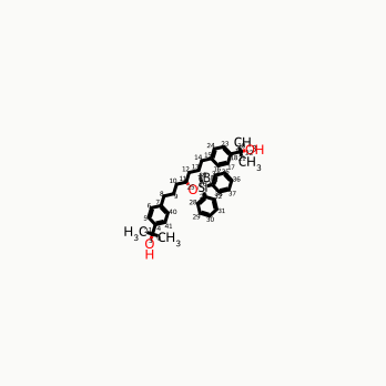 CC(C)(O)c1ccc(CCCC(CCCc2ccc(C(C)(C)O)cc2)O[Si](c2ccccc2)(c2ccccc2)C(C)(C)C)cc1